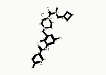 Cc1ccc(C(=O)Nc2cc(Cl)cc(CN3CCN(C(=O)N(C)CC4CCC4)[C@@H](C)C3)c2C)cn1